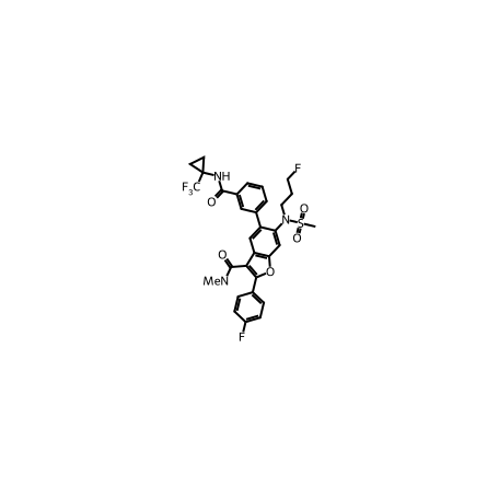 CNC(=O)c1c(-c2ccc(F)cc2)oc2cc(N(CCCF)S(C)(=O)=O)c(-c3cccc(C(=O)NC4(C(F)(F)F)CC4)c3)cc12